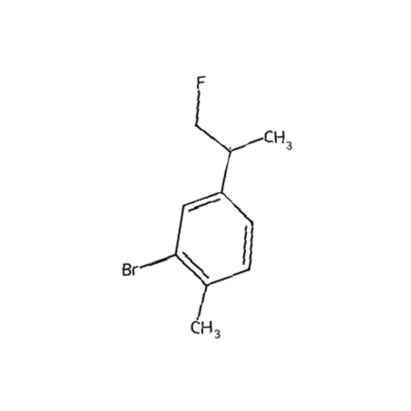 C[C](CF)c1ccc(C)c(Br)c1